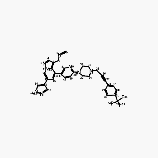 C=NCc1cnn2cc(-c3cnn(C)c3)cc(-c3ccc(N4CCN(CC#Cc5ccc(C(F)(F)F)cc5)CC4)nc3)c12